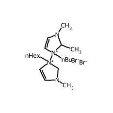 CCCCCC[N+]1([N+]2(CCCC)C=CN(C)C2C)C=CN(C)C1.[Br-].[Br-]